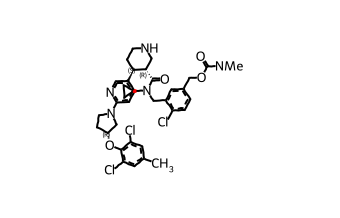 CNC(=O)OCc1ccc(Cl)c(CN(C(=O)[C@H]2CNCC[C@@H]2c2ccc(N3CC[C@@H](Oc4c(Cl)cc(C)cc4Cl)C3)nc2)C2CC2)c1